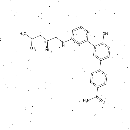 CC(C)C[C@H](N)CNc1ccnc(-c2cc(-c3ccc(C(N)=O)cc3)ccc2O)n1